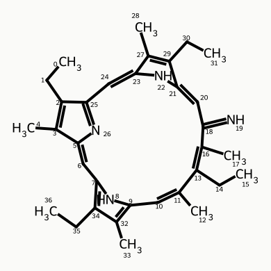 CCC1=C(C)c2cc3[nH]c(cc(C)c(CC)c(C)c(=N)cc4[nH]c(cc1n2)c(C)c4CC)c(C)c3CC